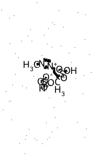 CC(CC[n+]1ccn(C)c1)S(=O)(=O)O.O=S(=O)([O-])[O-].[H+]